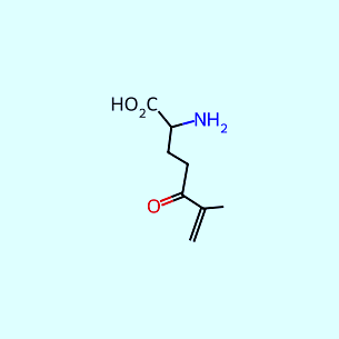 C=C(C)C(=O)CCC(N)C(=O)O